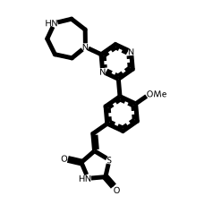 COc1ccc(/C=C2\SC(=O)NC2=O)cc1-c1cncc(N2CCCNCC2)n1